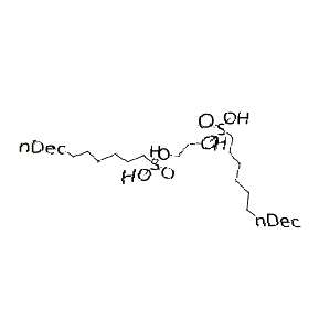 CCCCCCCCCCCCCCCC[SH](=O)(O)OCCO[SH](=O)(O)CCCCCCCCCCCCCCCC